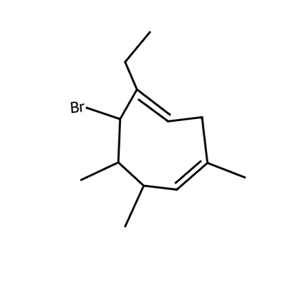 CC/C1=C\CC(C)=CC(C)C(C)C1Br